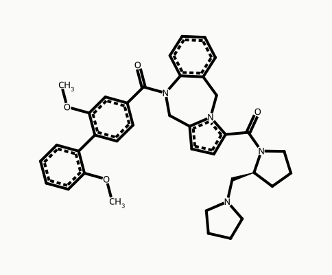 COc1ccccc1-c1ccc(C(=O)N2Cc3ccc(C(=O)N4CCC[C@H]4CN4CCCC4)n3Cc3ccccc32)cc1OC